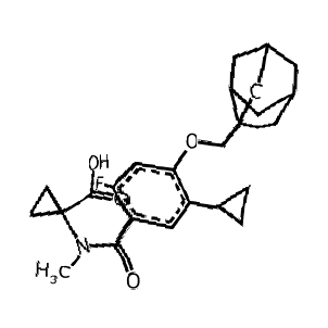 CN(C(=O)c1cc(C2CC2)c(OCC23CC4CC(CC2C4)C3)cc1F)C1(C(=O)O)CC1